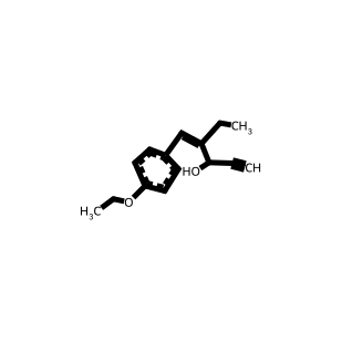 C#CC(O)C(=Cc1ccc(OCC)cc1)CC